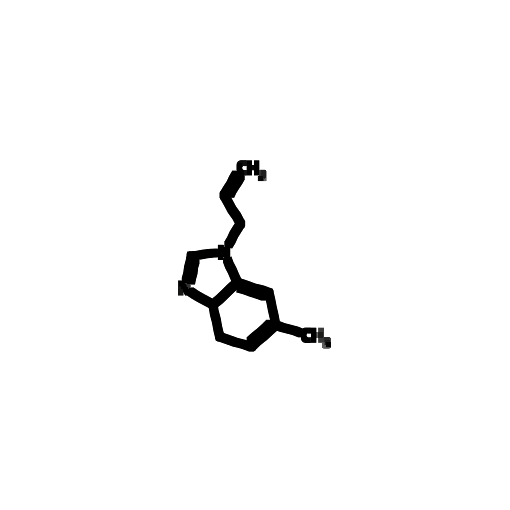 C=CCN1C=NC2CC=C(C)C=C21